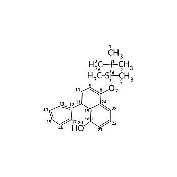 CC(C)(C)[Si](C)(C)Oc1ccc(-c2ccccc2)c2c(O)cccc12